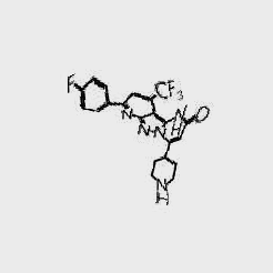 O=c1cc(C2CCNCC2)n2nc3nc(-c4ccc(F)cc4)cc(C(F)(F)F)c3c2[nH]1